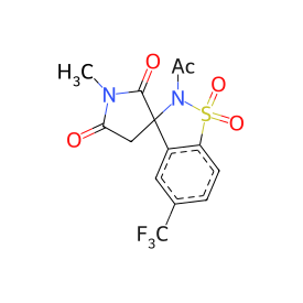 CC(=O)N1C2(CC(=O)N(C)C2=O)c2cc(C(F)(F)F)ccc2S1(=O)=O